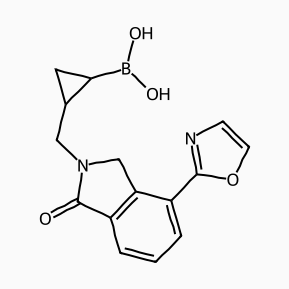 O=C1c2cccc(-c3ncco3)c2CN1CC1CC1B(O)O